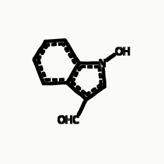 O=Cc1cn(O)c2ccccc12